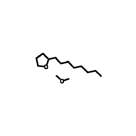 CCCCCCCCC1CCCO1.COC